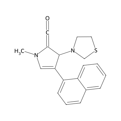 CN1C=C(c2cccc3ccccc23)C(N2CCSC2)C1=C=O